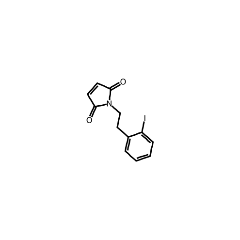 O=C1C=CC(=O)N1CCc1ccccc1I